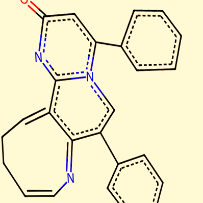 O=c1cc(-c2ccccc2)n2cc(-c3ccccc3)c3/c(c2n1)=C\CC/C=C\N=3